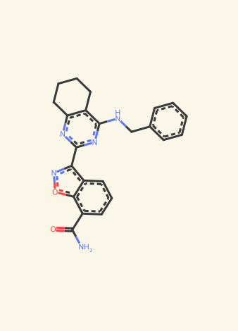 NC(=O)c1cccc2c(-c3nc4c(c(NCc5ccccc5)n3)CCCC4)noc12